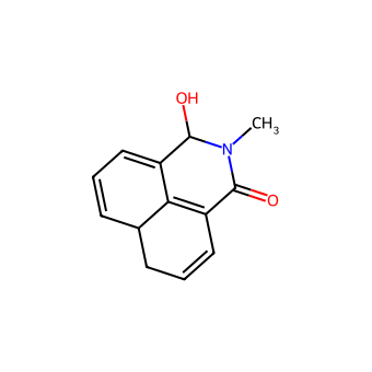 CN1C(=O)C2=C3C(=CC=CC3CC=C2)C1O